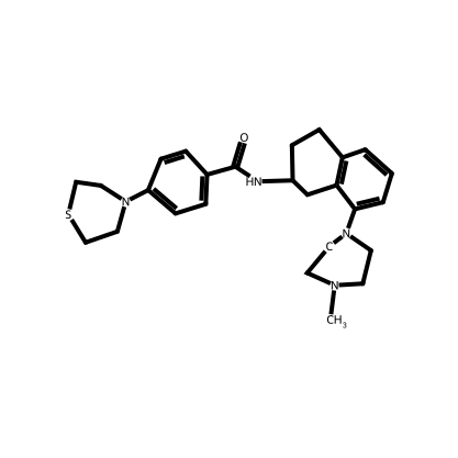 CN1CCN(c2cccc3c2CC(NC(=O)c2ccc(N4CCSCC4)cc2)CC3)CC1